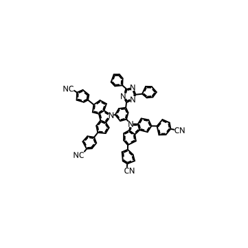 N#Cc1ccc(-c2ccc3c(c2)c2cc(-c4ccc(C#N)cc4)ccc2n3-c2cc(-c3nc(-c4ccccc4)nc(-c4ccccc4)n3)cc(-n3c4ccc(-c5ccc(C#N)cc5)cc4c4cc(-c5ccc(C#N)cc5)ccc43)c2)cc1